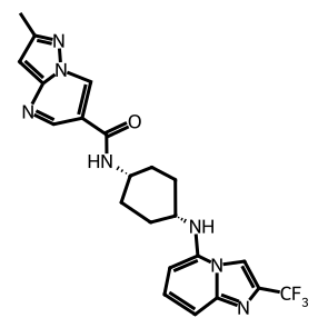 Cc1cc2ncc(C(=O)N[C@H]3CC[C@@H](Nc4cccc5nc(C(F)(F)F)cn45)CC3)cn2n1